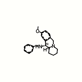 COc1ccc2c(c1)[C@H](NCc1ccccc1)[C@@H]1CCCCN1C2